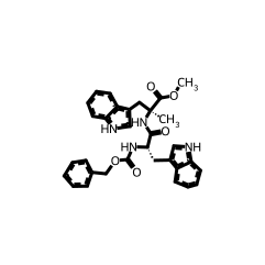 COC(=O)[C@](C)(Cc1c[nH]c2ccccc12)NC(=O)[C@H](Cc1c[nH]c2ccccc12)NC(=O)OCc1ccccc1